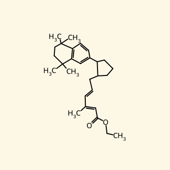 CCOC(=O)C=C(C)C=CCC1CCCC1c1ccc2c(c1)C(C)(C)CCC2(C)C